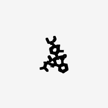 C=C1/C(=N\c2ccc(N(CC)CC)nc2C)C(c2ccccc2C2CO2)=NN1N=C(C)C